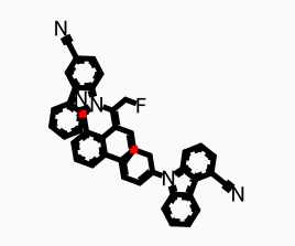 C/C=C\C(=C(/CF)n1c2ccccc2c2cc(C#N)ccc21)c1c(C#N)cccc1C1=CC=C(n2c3ccccc3c3c(C#N)cccc32)CC1